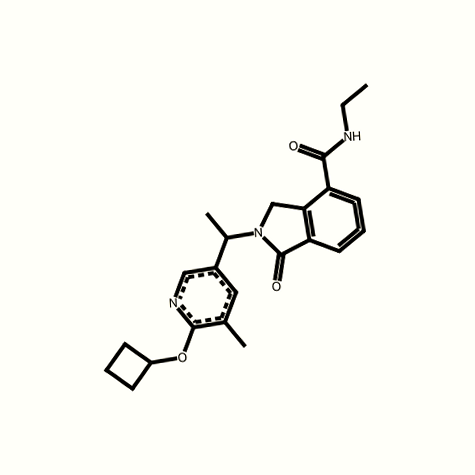 CCNC(=O)C1=C=C=CC2=C1CN(C(C)c1cnc(OC3CCC3)c(C)c1)C2=O